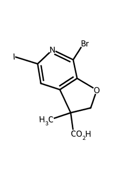 CC1(C(=O)O)COc2c1cc(I)nc2Br